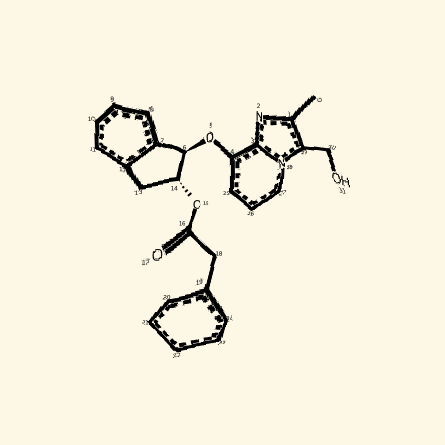 Cc1nc2c(O[C@@H]3c4ccccc4C[C@H]3OC(=O)Cc3ccccc3)cccn2c1CO